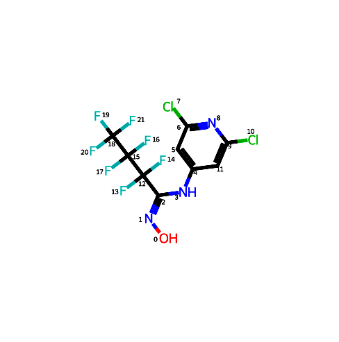 O/N=C(\Nc1cc(Cl)nc(Cl)c1)C(F)(F)C(F)(F)C(F)(F)F